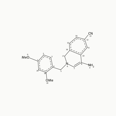 COc1ccc(CN2C=C(N)c3cc(C#N)ccc3C2)c(OC)c1